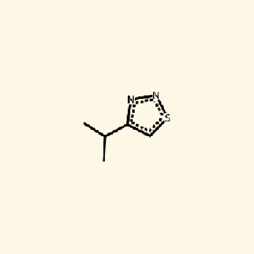 CC(C)c1csnn1